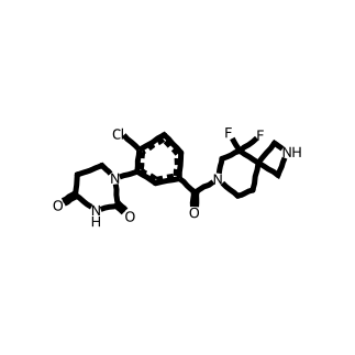 O=C1CCN(c2cc(C(=O)N3CCC4(CNC4)C(F)(F)C3)ccc2Cl)C(=O)N1